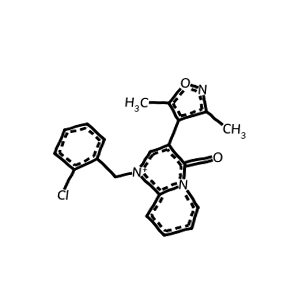 Cc1noc(C)c1-c1c[n+](Cc2ccccc2Cl)c2ccccn2c1=O